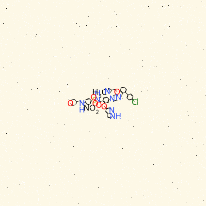 CN1CC(COc2cccc(-c3ccc(Cl)cc3)c2CN2CCN(c3ccc(C(=O)NS(=O)(=O)c4ccc(NCC5CCOCC5)c([N+](=O)[O-])c4)c(Oc4cnc5[nH]ccc5c4)c3)CC2)C1